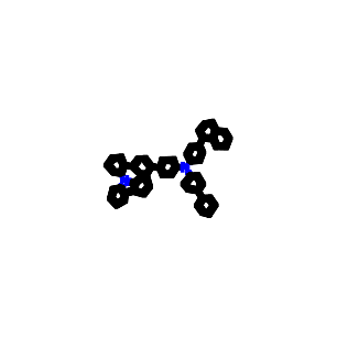 C1=C(c2ccc(N(c3ccc(-c4ccccc4)cc3)c3ccc(-c4cccc5ccccc45)cc3)cc2)CCC(c2ccccc2-n2c3ccccc3c3ccccc32)=C1